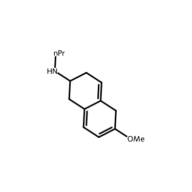 CCCNC1CC=C2CC(OC)=CC=C2C1